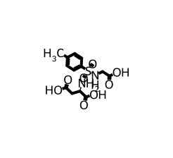 Cc1ccc(S(=O)(=O)NCC(=O)O)cc1.N[C@@H](CC(=O)O)C(=O)O